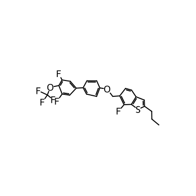 CCCc1cc2ccc(COc3ccc(-c4cc(F)c(OC(F)(F)F)c(F)c4)cc3)c(F)c2s1